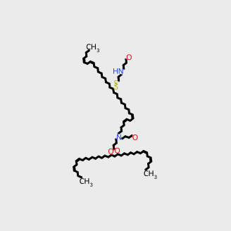 CCCC/C=C\C/C=C\CCCCCCCCCC(CCCCCCCCC/C=C\C/C=C\CCCC)OC(=O)CCCN(CCCC=O)CCCC/C=C\C/C=C\CCCCCCCCCC(CCCCCCCCC/C=C\C/C=C\CCCC)SSCCCNCCCC=O